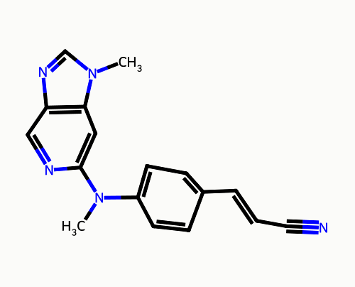 CN(c1ccc(C=CC#N)cc1)c1cc2c(cn1)ncn2C